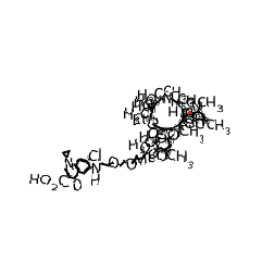 CC[C@H]1OC(=O)[C@H](C)[C@@H](O[C@H]2C[C@@](C)(OC)[C@@H](OC(=O)CCOCCOCCNc3cc4c(=O)c(C(=O)O)cn(C5CC5)c4cc3Cl)[C@H](C)O2)[C@H](C)[C@@H](O[C@@H]2O[C@H](C)C[C@H](N(C)C)[C@H]2C)[C@](C)(O)C[C@@H](C)CN(C)[C@H](C)[C@@H](O)[C@]1(C)O